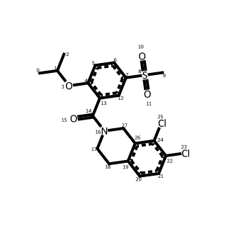 CC(C)Oc1ccc(S(C)(=O)=O)cc1C(=O)N1CCc2ccc(Cl)c(Cl)c2C1